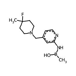 CB(O)Nc1cc(CN2CCC(C)(F)CC2)ccn1